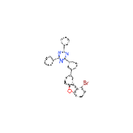 Brc1cccc2oc3ccc(-c4cccc(-c5nc(-c6ccccc6)nc(-c6ccccc6)n5)c4)cc3c12